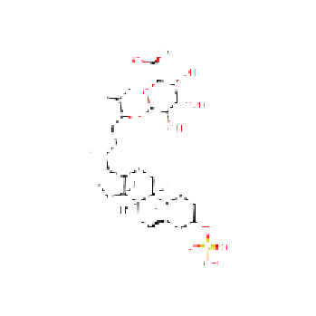 CC(C)C(CC[C@@H](C)[C@H]1CC[C@H]2[C@@H]3CC=C4CC(OS(=O)(=O)O)CC[C@]4(C)[C@H]3CC[C@]12C)OC1O[C@H](C(=O)O)[C@@H](O)[C@H](O)[C@H]1O